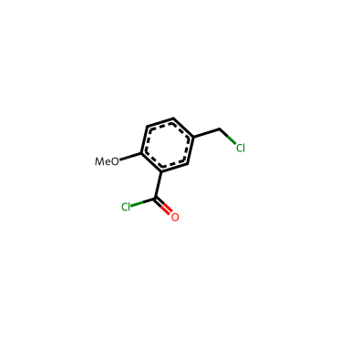 COc1ccc(CCl)cc1C(=O)Cl